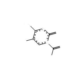 CC(=O)n1cc(C)c(N)nc1=O